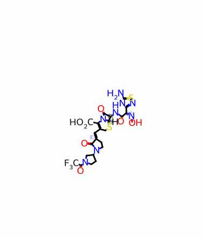 Nc1nc(/C(=N/O)C(=O)N[C@@H]2C(=O)N3C(C(=O)O)=C(/C=C4\CCN(C5CCN(C(=O)C(F)(F)F)C5)C4=O)CS[C@H]23)ns1